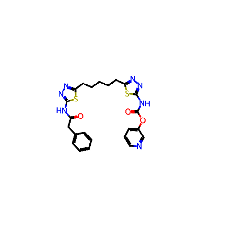 O=C(Cc1ccccc1)Nc1nnc(CCCCCc2nnc(NC(=O)Oc3cccnc3)s2)s1